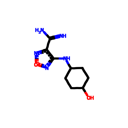 N=C(N)c1nonc1NC1CCC(O)CC1